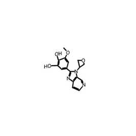 COc1cc(-c2nc3ccncc3n2C2COC2)cc(O)c1O